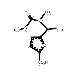 CC(c1ccc(C(=O)O)o1)N(C)C(=O)OC(C)(C)C